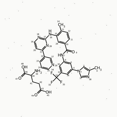 Cc1cn(-c2cc(NC(=O)c3ccc(C)c(Nc4nccc(-c5cccnc5)n4)c3)cc(C(F)(F)F)c2)cn1.NC(CCC(=O)O)C(=O)O